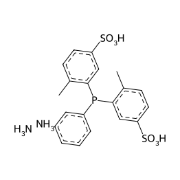 Cc1ccc(S(=O)(=O)O)cc1P(c1ccccc1)c1cc(S(=O)(=O)O)ccc1C.N.N